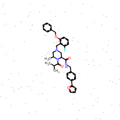 CC(C)C(=O)N1C(C)CN(Cc2c(F)cccc2OCc2ccccc2)CC1C(=O)NCc1ccc(-c2ccco2)cc1